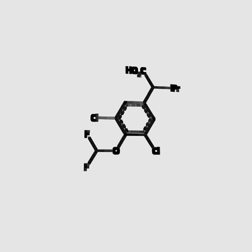 CC(C)C(C(=O)O)c1cc(Cl)c(OC(F)F)c(Cl)c1